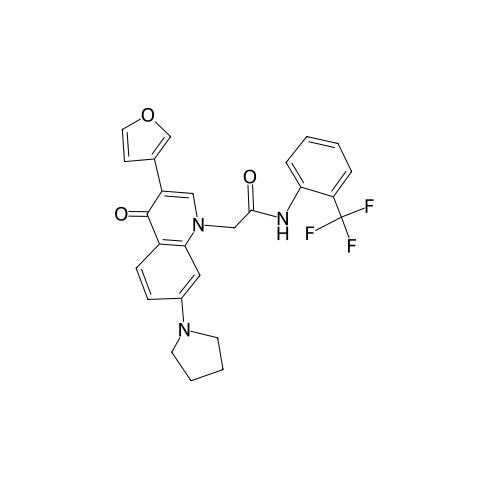 O=C(Cn1cc(-c2ccoc2)c(=O)c2ccc(N3CCCC3)cc21)Nc1ccccc1C(F)(F)F